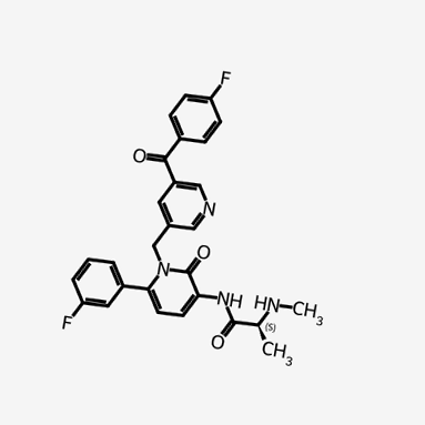 CN[C@@H](C)C(=O)Nc1ccc(-c2cccc(F)c2)n(Cc2cncc(C(=O)c3ccc(F)cc3)c2)c1=O